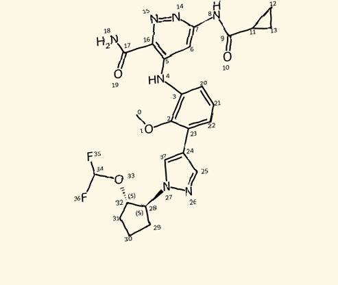 COc1c(Nc2cc(NC(=O)C3CC3)nnc2C(N)=O)cccc1-c1cnn([C@H]2CCC[C@@H]2OC(F)F)c1